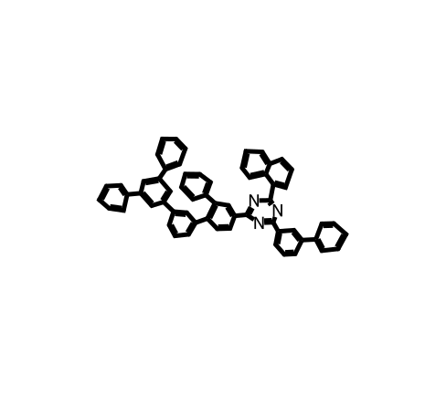 c1ccc(-c2cc(-c3ccccc3)cc(-c3cccc(-c4ccc(-c5nc(-c6cccc(-c7ccccc7)c6)nc(-c6cccc7ccccc67)n5)cc4-c4ccccc4)c3)c2)cc1